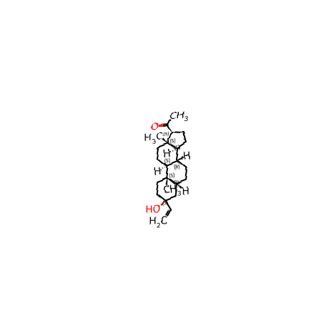 C=C[C@]1(O)CC[C@@]2(C)[C@H](CC[C@@H]3[C@@H]2CC[C@]2(C)[C@@H](C(C)=O)CC[C@@H]32)C1